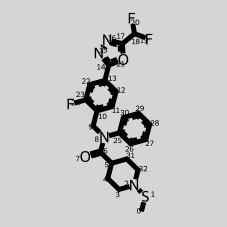 CSN1CCC(C(=O)N(Cc2ccc(-c3nnc(C(F)F)o3)cc2F)c2ccccc2)CC1